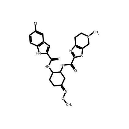 CO/N=C1\CCC(NC(=O)c2cc3cc(Cl)ccc3[nH]2)C(NC(=O)c2nc3c(s2)CN(C)CC3)C1